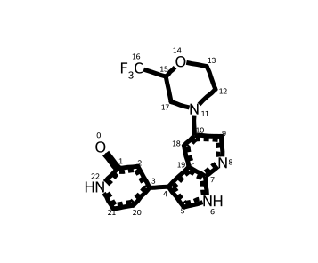 O=c1cc(-c2c[nH]c3ncc(N4CCOC(C(F)(F)F)C4)cc23)cc[nH]1